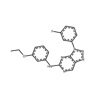 CCOc1cccc(Nc2ncc3nnn(-c4cccc(F)c4)c3n2)c1